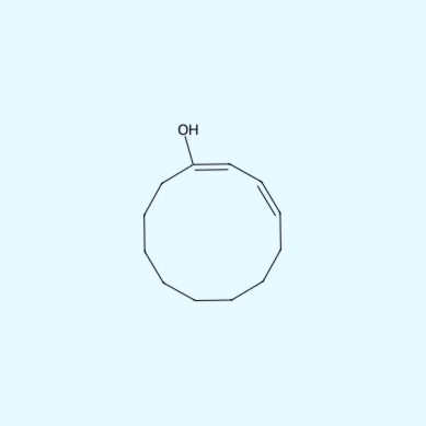 OC1=CC=CCCCCCCCC1